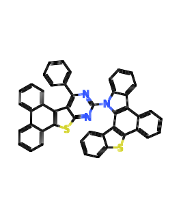 c1ccc(-c2nc(-n3c4ccccc4c4c5ccccc5c5sc6ccccc6c5c43)nc3sc4c5ccccc5c5ccccc5c4c23)cc1